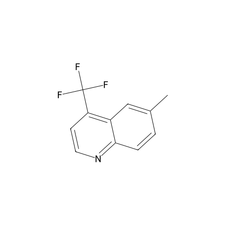 Cc1ccc2nccc(C(F)(F)F)c2c1